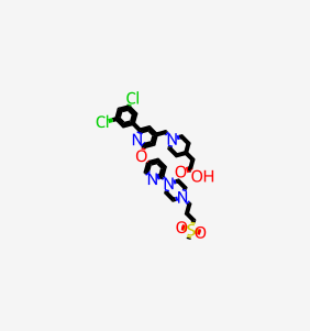 CS(=O)(=O)CCCN1CCN(c2ccc(Oc3cc(CN4CCC(CC(=O)O)CC4)cc(-c4cc(Cl)cc(Cl)c4)n3)cn2)CC1